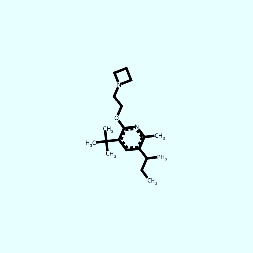 CCC(P)c1cc(C(C)(C)C)c(OCCN2CCC2)nc1C